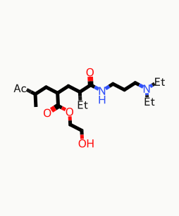 CCC(CC(CC(C)C(C)=O)C(=O)OCCO)C(=O)NCCCN(CC)CC